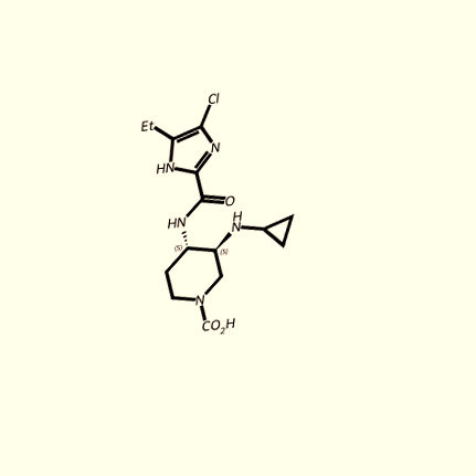 CCc1[nH]c(C(=O)N[C@H]2CCN(C(=O)O)C[C@@H]2NC2CC2)nc1Cl